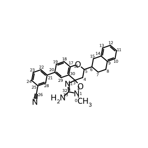 CN1OC2(CC(C3CCc4ccccc4C3)Oc3ccc(-c4cccc(C#N)c4)cc32)N=C1N